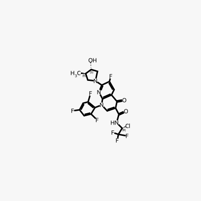 C[C@@H]1CN(c2nc3c(cc2F)c(=O)c(C(=O)N[C@H](Cl)C(F)(F)F)cn3-c2c(F)cc(F)cc2F)C[C@H]1O